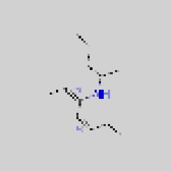 C/C=C(\C=C/CC)NC(C)CCC